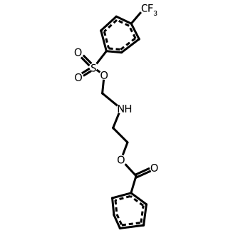 O=C(OCCNCOS(=O)(=O)c1ccc(C(F)(F)F)cc1)c1ccccc1